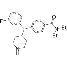 CCN(CC)C(=O)c1ccc(C(c2cccc(F)c2)C2CCNCC2)cc1